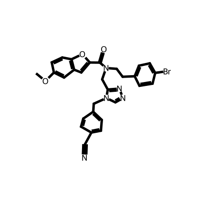 COc1ccc2oc(C(=O)N(CCc3ccc(Br)cc3)Cc3nncn3Cc3ccc(C#N)cc3)cc2c1